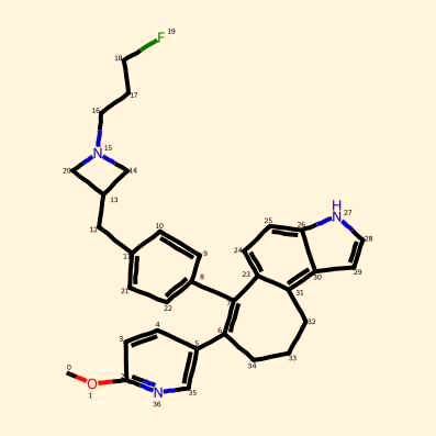 COc1ccc(C2=C(c3ccc(CC4CN(CCCF)C4)cc3)c3ccc4[nH]ccc4c3CCC2)cn1